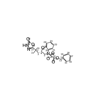 CC(C)(C[C@H]1CN(S(=O)(=O)C(=O)OCc2ccccc2)c2ccccc2O1)c1n[nH]c(=O)o1